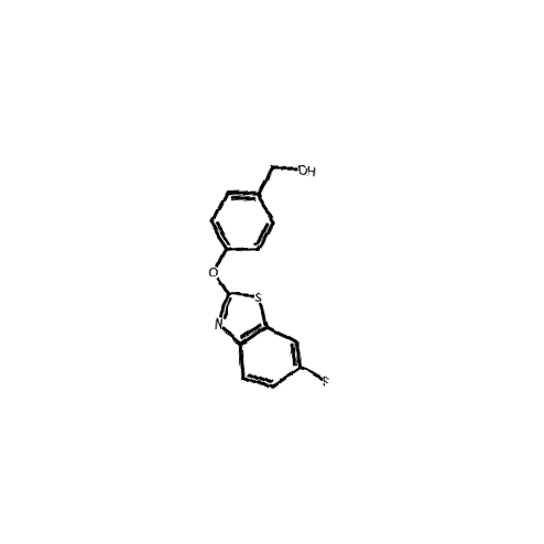 OCc1ccc(Oc2nc3ccc(F)cc3s2)cc1